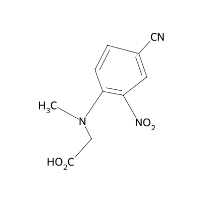 CN(CC(=O)O)c1ccc(C#N)cc1[N+](=O)[O-]